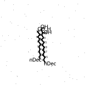 CCCCCCCCCCCCCCCCCCCCCC(=O)O.CCCCCCCCCCCCCCCCCCCCCC(O)CO